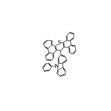 c1ccc(-n2c3ccccc3c3ccc(C4c5c(c6ccccc6c6ccccc56)Sc5c4c4ccccc4c4ccccc54)cc32)cc1